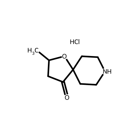 CC1CC(=O)C2(CCNCC2)O1.Cl